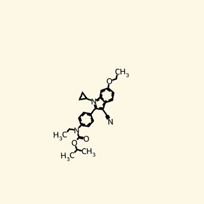 CCOc1ccc2c(C#N)c(-c3ccc(N(CC)C(=O)OC(C)C)cc3)n(C3CC3)c2c1